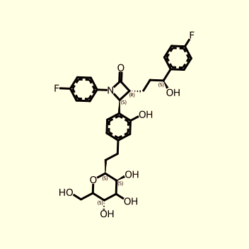 O=C1[C@H](CC[C@H](O)c2ccc(F)cc2)[C@@H](c2ccc(CC[C@@H]3OC(CO)[C@@H](O)C(O)[C@@H]3O)cc2O)N1c1ccc(F)cc1